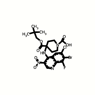 CC(C)(C)COC(=O)C1(Nc2c([N+](=O)[O-])cnc3c(F)c(Br)c(Cl)cc23)CCN(C(=O)O)CC1